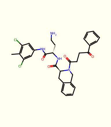 Cc1c(Cl)cc(NC(=O)[C@H](CCN)NC(=O)[C@@H]2Cc3ccccc3CN2C(=O)CCC(=O)c2ccccc2)cc1Cl